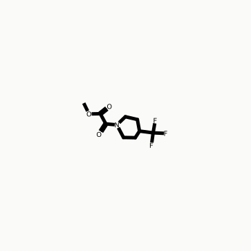 COC(=O)C(=O)N1CCC(C(F)(F)F)CC1